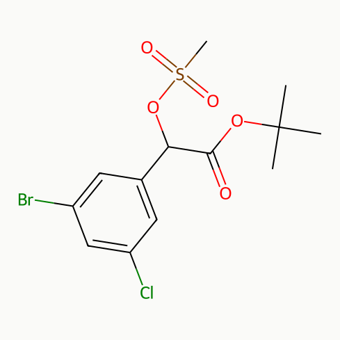 CC(C)(C)OC(=O)C(OS(C)(=O)=O)c1cc(Cl)cc(Br)c1